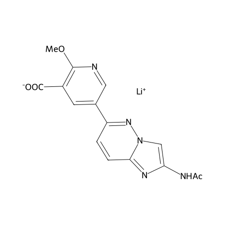 COc1ncc(-c2ccc3nc(NC(C)=O)cn3n2)cc1C(=O)[O-].[Li+]